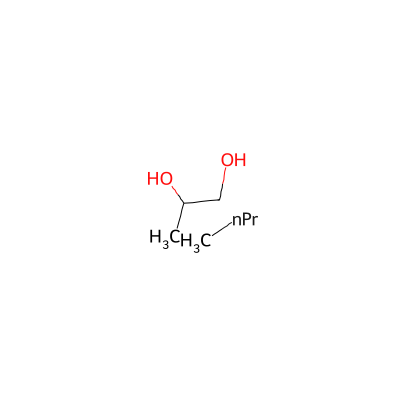 CC(O)CO.CCCC